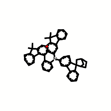 CC1(C)c2ccccc2-c2cc(N(c3ccc4c(c3)-c3ccccc3C43CC4CCC3C4)c3ccccc3-c3cccc4c3-c3ccccc3C4(C)C)ccc21